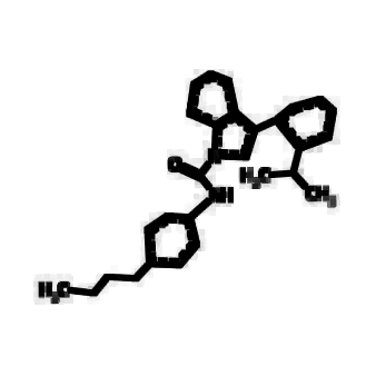 CCCCc1ccc(NC(=O)n2cc(-c3ccccc3C(C)C)c3ccccc32)cc1